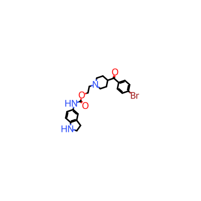 O=C(Nc1ccc2c(c1)CCN2)OCCN1CCC(C(=O)c2ccc(Br)cc2)CC1